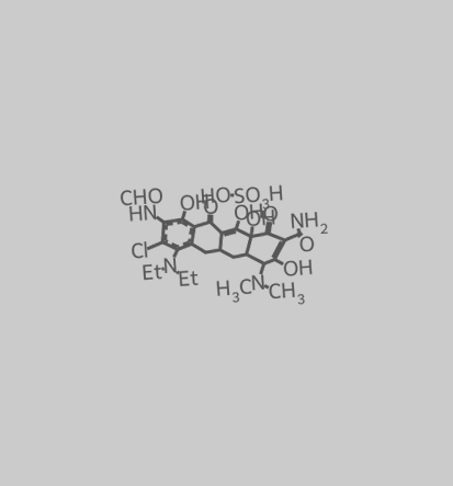 CCN(CC)c1c(Cl)c(NC=O)c(O)c2c1CC1CC3C(N(C)C)C(O)=C(C(N)=O)C(=O)C3(O)C(O)=C1C2=O.O=S(=O)(O)O